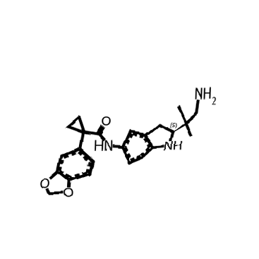 CC(C)(CN)[C@@H]1Cc2cc(NC(=O)C3(c4ccc5c(c4)OCO5)CC3)ccc2N1